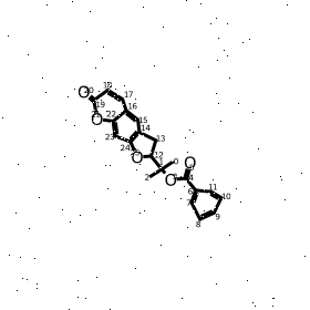 CC(C)(OC(=O)c1ccccc1)C1Cc2cc3ccc(=O)oc3cc2O1